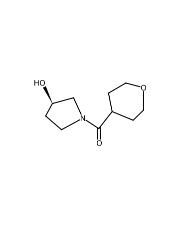 O=C(C1CCOCC1)N1CC[C@@H](O)C1